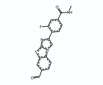 CNC(=O)c1ccc(-c2cn3c(n2)sc2cc(C=O)ccc23)c(F)c1